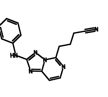 N#CCCCc1nccc2nc(Nc3ccccc3)nn12